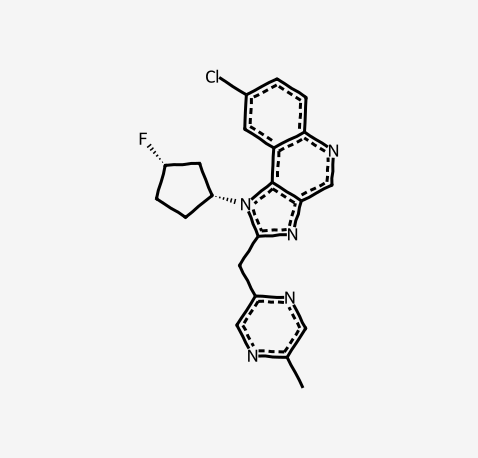 Cc1cnc(Cc2nc3cnc4ccc(Cl)cc4c3n2[C@@H]2CC[C@H](F)C2)cn1